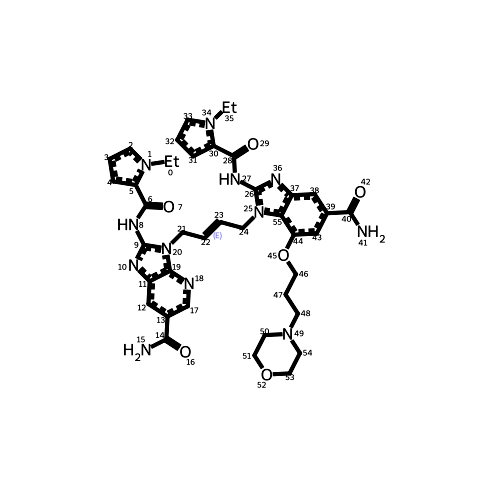 CCn1cccc1C(=O)Nc1nc2cc(C(N)=O)cnc2n1C/C=C/Cn1c(NC(=O)c2cccn2CC)nc2cc(C(N)=O)cc(OCCCN3CCOCC3)c21